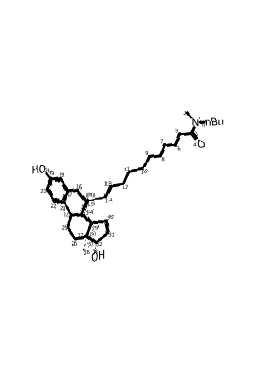 CCCCN(C)C(=O)CCCCCCCCCC[C@@H]1Cc2cc(O)ccc2C2CC[C@@]3(C)C(CC[C@@H]3O)C21